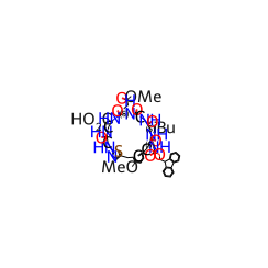 CCC(C)[C@@H]1NC(=O)[C@@H](NC(=O)OCC2c3ccccc3-c3ccccc32)Cc2ccc(OC)c(c2)Cc2cnc(s2)NCC(=O)NCC(C(=O)O)NC(=O)[C@H](CCC(=O)OC)NC(=O)CNC1=O